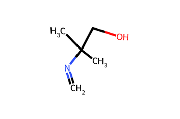 C=NC(C)(C)CO